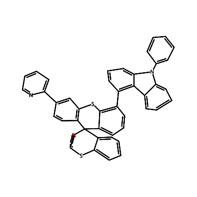 c1ccc(-n2c3ccccc3c3c(-c4cccc5c4Sc4cc(-c6ccccn6)ccc4C54c5ccccc5Sc5ccccc54)cccc32)cc1